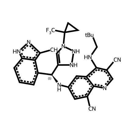 Cc1n[nH]c2cccc([C@H](Nc3cc(C#N)c4ncc(C#N)c(NCC(C)(C)C)c4c3)C3=CN(C4(C(F)(F)F)CC4)NN3)c12